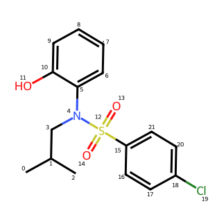 CC(C)CN(c1c[c]ccc1O)S(=O)(=O)c1ccc(Cl)cc1